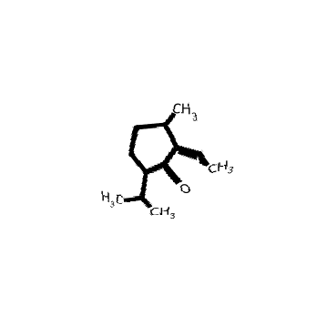 C/C=C1\C(=O)C(C(C)C)CCC1C